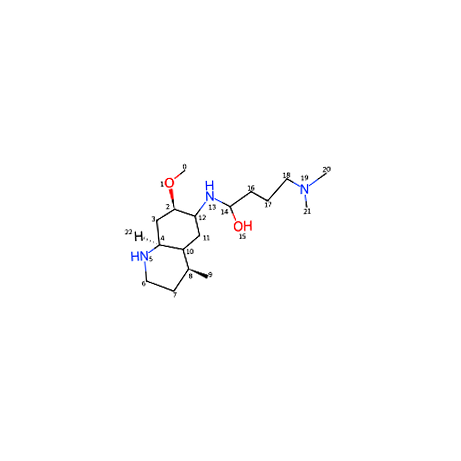 CO[C@@H]1C[C@@H]2NCC[C@H](C)C2CC1NC(O)CCCN(C)C